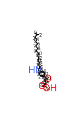 CC(C)CCCCCCCCCCCCCCNc1ccc(C(=O)CCC(=O)O)cc1